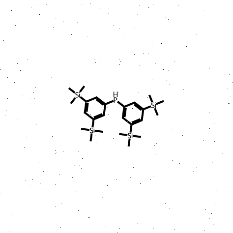 C[Si](C)(C)c1cc(Pc2cc([Si](C)(C)C)cc([Si](C)(C)C)c2)cc([Si](C)(C)C)c1